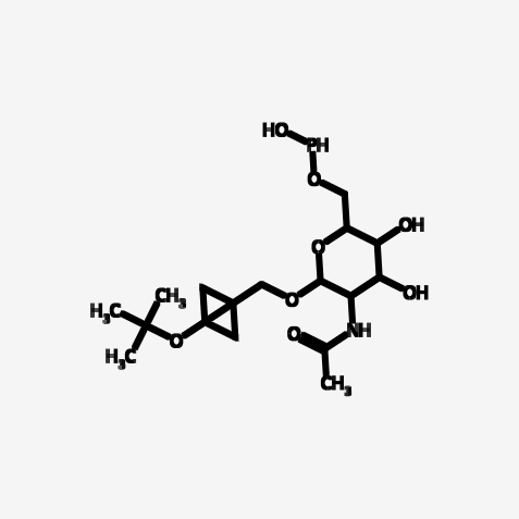 CC(=O)NC1C(OCC23CC2(OC(C)(C)C)C3)OC(COPO)C(O)C1O